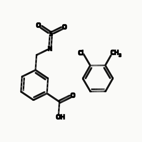 Cc1ccccc1Cl.O=C(O)c1cccc(CN=S(=O)=O)c1